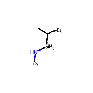 CCC(C)[SiH2]NC(C)C